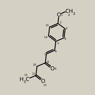 COc1ccc(C=CC(=O)CC(C)=O)cc1